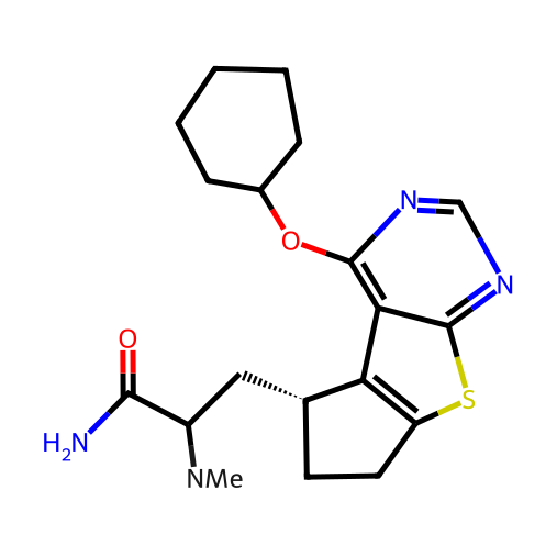 CNC(C[C@H]1CCc2sc3ncnc(OC4CCCCC4)c3c21)C(N)=O